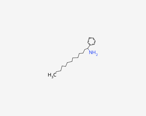 CCCCCCCCCCCCC(N)c1ccccc1